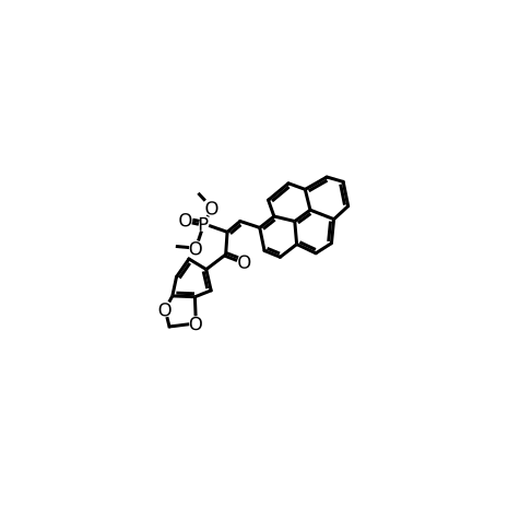 COP(=O)(OC)/C(=C/c1ccc2ccc3cccc4ccc1c2c34)C(=O)c1ccc2c(c1)OCO2